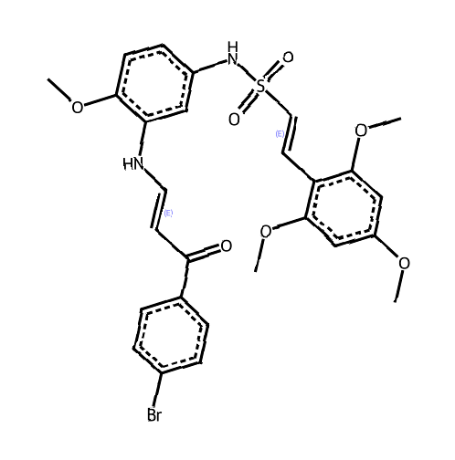 COc1cc(OC)c(/C=C/S(=O)(=O)Nc2ccc(OC)c(N/C=C/C(=O)c3ccc(Br)cc3)c2)c(OC)c1